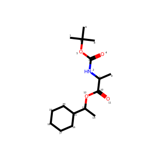 CC(NC(=O)OC(C)(C)C)C(=O)OC(C)C1CCCCC1